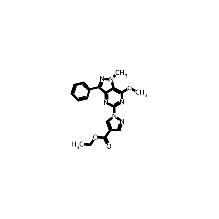 CCOC(=O)c1cnn(-c2nc(OC)c3c(n2)c(-c2ccccc2)nn3C)c1